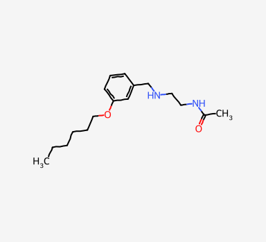 CCCCCCOc1cccc(CNCCNC(C)=O)c1